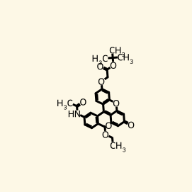 CCOC(=O)c1ccc(NC(C)=O)cc1-c1c2ccc(=O)cc-2oc2cc(OCC(=O)OC(C)(C)C)ccc12